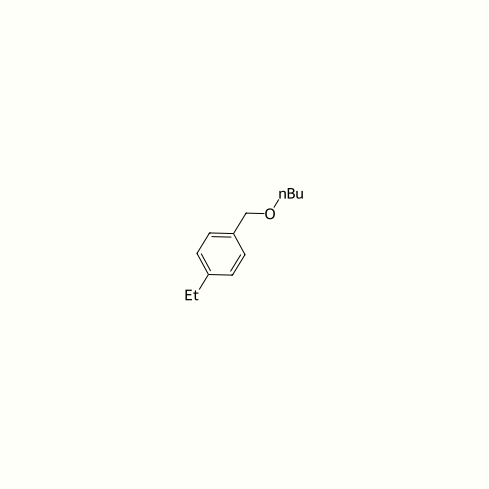 CCCCOCc1ccc(CC)cc1